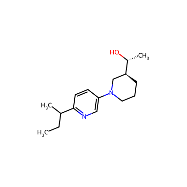 CCC(C)c1ccc(N2CCC[C@H]([C@@H](C)O)C2)cn1